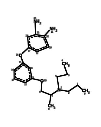 CCCN(CCC)C(C)COc1cccc(Oc2ccc(N)c(N)c2)c1